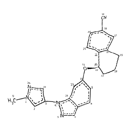 Cn1cc(-n2ncc3ccc(O[C@@H]4CCCc5cc(C#N)ccc54)cc32)cn1